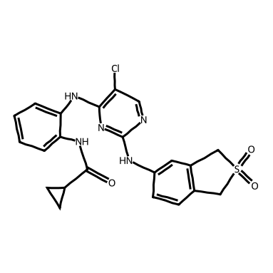 O=C(Nc1ccccc1Nc1nc(Nc2ccc3c(c2)CS(=O)(=O)C3)ncc1Cl)C1CC1